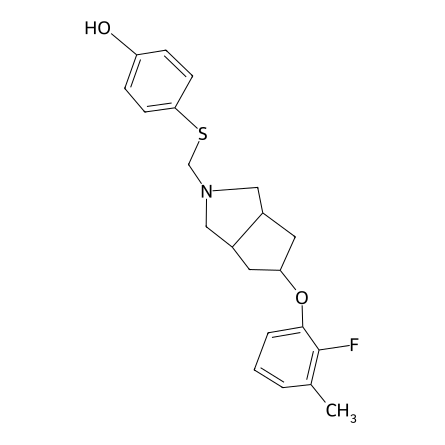 Cc1cccc(OC2CC3CN(CSc4ccc(O)cc4)CC3C2)c1F